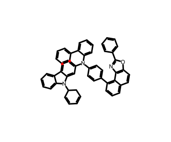 C1=CCC(n2c3ccccc3c3ccc(N(c4ccc(-c5cccc6ccc7oc(-c8ccccc8)nc7c56)cc4)c4ccccc4-c4ccccc4)cc32)C=C1